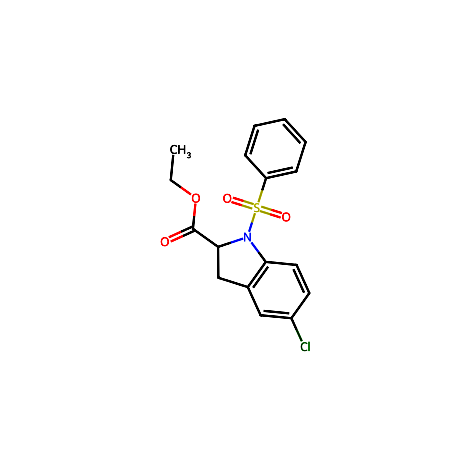 CCOC(=O)C1Cc2cc(Cl)ccc2N1S(=O)(=O)c1ccccc1